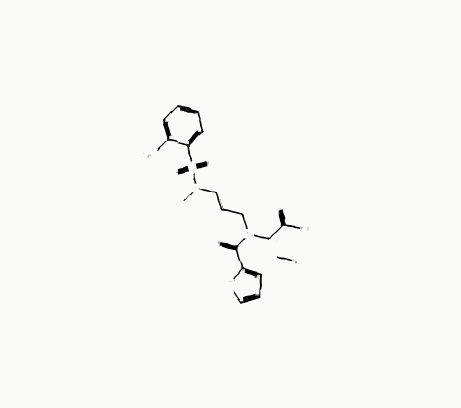 CC(C)C[C@@H](C(N)=O)N(CCCN(C)S(=O)(=O)c1ccccc1C#N)C(=O)c1cccs1